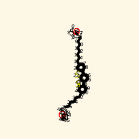 C[Si](C)(C)O[Si](C)(C)CCCCCCCCc1ccc2c(c1)sc1c2ccc2c3ccc(CCCCCC[Si](C)(C)O[Si](C)(C)C)cc3sc21